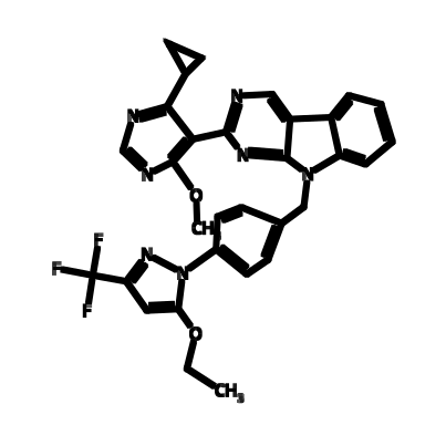 CCOc1cc(C(F)(F)F)nn1-c1ccc(Cn2c3ccccc3c3cnc(-c4c(OC)ncnc4C4CC4)nc32)cc1